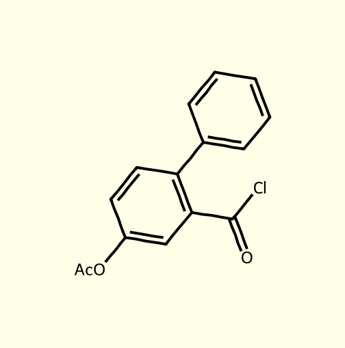 CC(=O)Oc1ccc(-c2ccccc2)c(C(=O)Cl)c1